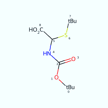 CC(C)(C)OC(=O)NC(SC(C)(C)C)C(=O)O